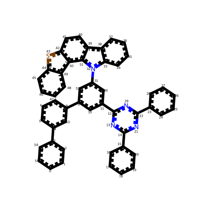 c1ccc(-c2cccc(-c3cc(-c4nc(-c5ccccc5)nc(-c5ccccc5)n4)cc(-n4c5ccccc5c5ccc6sc7ccccc7c6c54)c3)c2)cc1